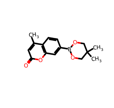 Cc1cc(=O)oc2cc(B3OCC(C)(C)CO3)ccc12